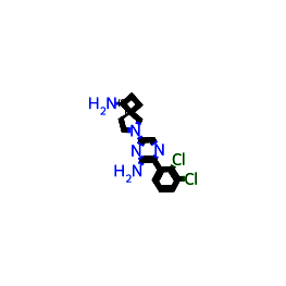 Nc1nc(N2CC[C@@]3(CC[C@@H]3N)C2)cnc1-c1cccc(Cl)c1Cl